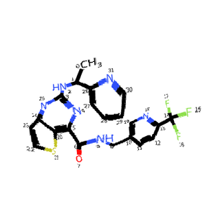 CC(Nc1nc(C(=O)NCc2ccc(C(F)(F)F)nc2)c2sccc2n1)c1ccccn1